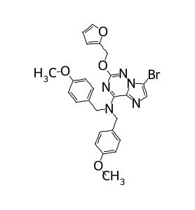 COc1ccc(CN(Cc2ccc(OC)cc2)c2nc(OCc3ccco3)nn3c(Br)cnc23)cc1